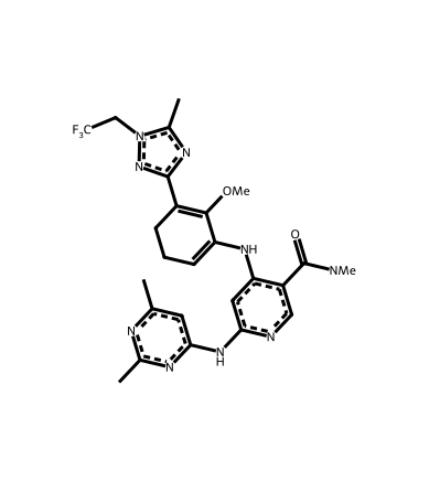 CNC(=O)c1cnc(Nc2cc(C)nc(C)n2)cc1NC1=CCCC(c2nc(C)n(CC(F)(F)F)n2)=C1OC